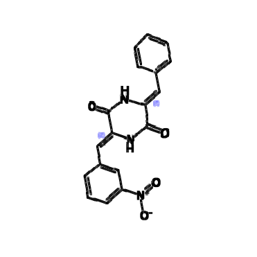 O=c1[nH]/c(=C\c2cccc([N+](=O)[O-])c2)c(=O)[nH]/c1=C\c1ccccc1